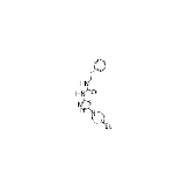 CCN1CCN(c2nnc(NC(=O)NCCc3ccccc3)s2)CC1